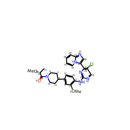 COc1cc(C2CCN(C(=O)[C@@H](C)OC)CC2)ccc1Nc1ncc(Cl)c(-c2cnc3ccccn23)n1